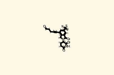 O=CCCC#Cc1cc(C(F)(F)F)cc2c1CN(C1CCC(=O)NC1=O)C2=O